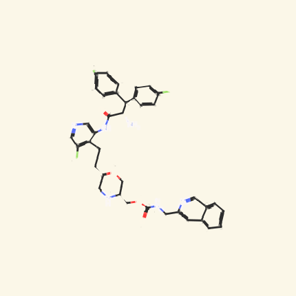 N[C@H](C(=O)Nc1cncc(F)c1CC[C@@H]1CN[C@H](COC(=O)NCc2cc3ccccc3cn2)CO1)C(c1ccc(F)cc1)c1ccc(F)cc1